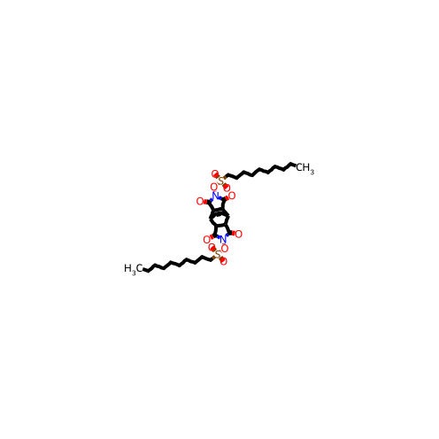 CCCCCCCCCCS(=O)(=O)ON1C(=O)C2C3C=CC(C2C1=O)C1C(=O)N(OS(=O)(=O)CCCCCCCCCC)C(=O)C31